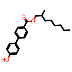 CCCCCCC(C)COC(=O)c1ccc(-c2ccc(O)cc2)cc1